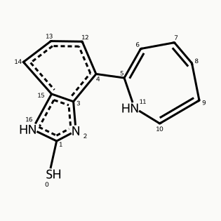 Sc1nc2c(C3=CC=CC=CN3)cccc2[nH]1